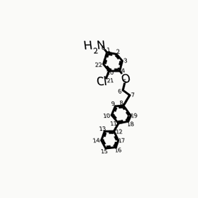 Nc1ccc(OCCc2ccc(-c3ccccc3)cc2)c(Cl)c1